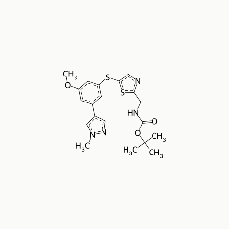 COc1cc(Sc2cnc(CNC(=O)OC(C)(C)C)s2)cc(-c2cnn(C)c2)c1